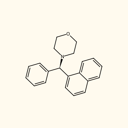 c1ccc([C@H](c2cccc3ccccc23)N2CCOCC2)cc1